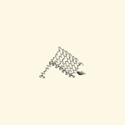 CCCCCCCCCC(=O)[O-].CCCCCCCCCC(=O)[O-].CCCCCCCCCC(=O)[O-].CCCCCCCCCC(=O)[O-].CCCCCCCCCC(=O)[O-].CCCCCCCCCC(=O)[O-].CCCCCCCCCC(=O)[O-].CCCCCCCCCC(=O)[O-].[Mn+2].[Mn+2].[Mn+2].[Mn+2]